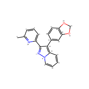 Cc1cccc(-c2nn3ccccc3c2-c2ccc3c(c2)OCO3)n1